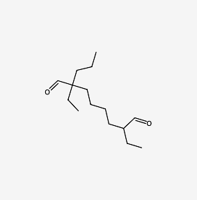 CCCC(C=O)(CC)CCCCC(C=O)CC